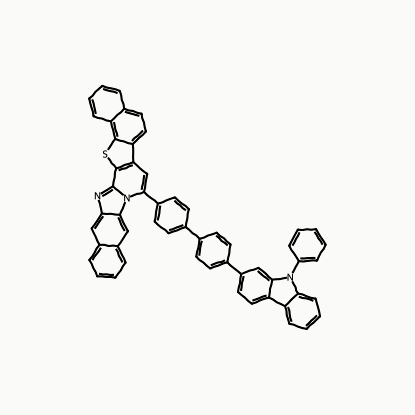 c1ccc(-n2c3ccccc3c3ccc(-c4ccc(-c5ccc(-c6cc7c8ccc9ccccc9c8sc7c7nc8cc9ccccc9cc8n67)cc5)cc4)cc32)cc1